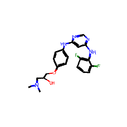 CN(C)CC(O)COc1ccc(Nc2cc(Nc3c(F)cccc3F)ncn2)cc1